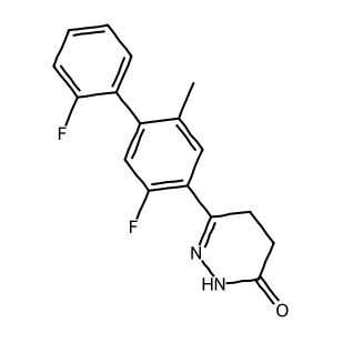 Cc1cc(C2=NNC(=O)CC2)c(F)cc1-c1ccccc1F